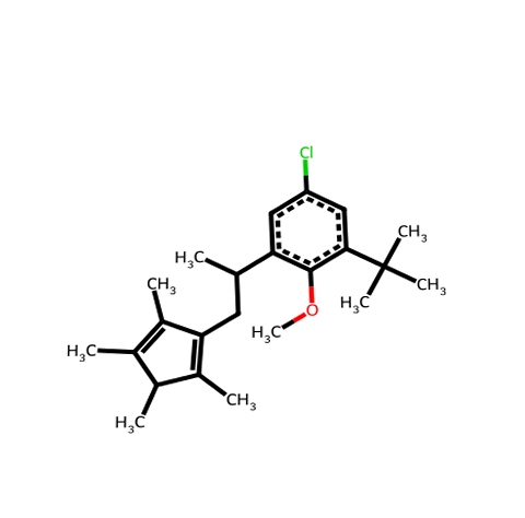 COc1c(C(C)CC2=C(C)C(C)C(C)=C2C)cc(Cl)cc1C(C)(C)C